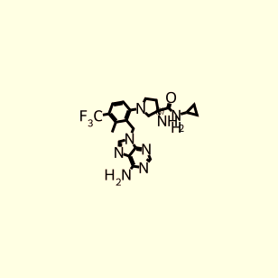 Cc1c(C(F)(F)F)ccc(N2CC[C@](N)(C(=O)NC3CC3)C2)c1Cn1cnc2c(N)ncnc21